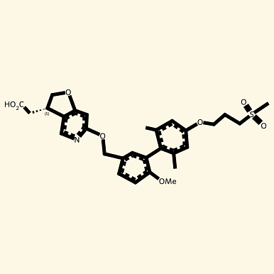 COc1ccc(COc2cc3c(cn2)[C@H](CC(=O)O)CO3)cc1-c1c(C)cc(OCCCS(C)(=O)=O)cc1C